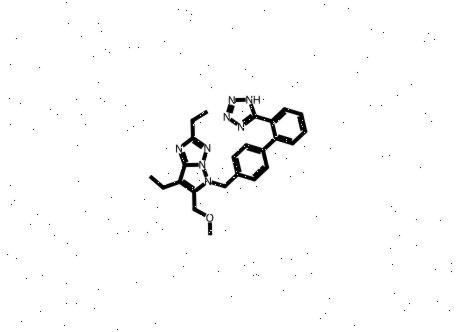 CCc1nc2c(CC)c(COC)n(Cc3ccc(-c4ccccc4-c4nnn[nH]4)cc3)n2n1